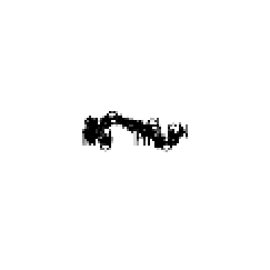 Cc1sc2c(c1C)C(c1ccc(OC3CC4(C3)CC3(CCN(c5ncc(C(=O)NC6C(C)(C)C(Oc7ccc(C#N)c(Cl)c7)C6(C)C)c(Cl)n5)CC3)C4)cc1)=N[C@@H](Cc1ncco1)c1nnc(C)n1-2